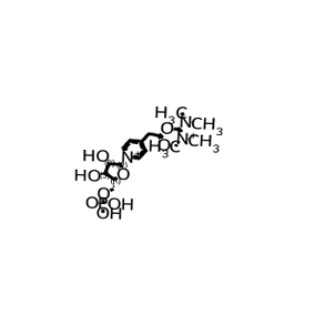 CN(C)C(OC(=O)Cc1cc[n+]([C@@H]2O[C@H](COP(=O)(O)O)[C@@H](O)[C@H]2O)cc1)=[N+](C)C